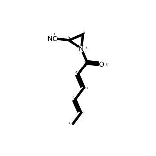 CC=CC=CC(=O)N1CC1C#N